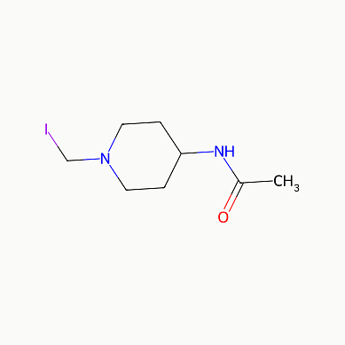 CC(=O)NC1CCN(CI)CC1